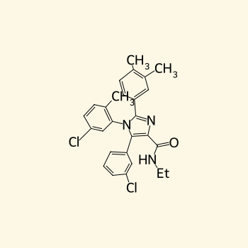 CCNC(=O)c1nc(-c2ccc(C)c(C)c2)n(-c2cc(Cl)ccc2C)c1-c1cccc(Cl)c1